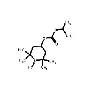 CC(C)OC(=O)OC1CC(C)(C)N(O)C(C)(C)C1